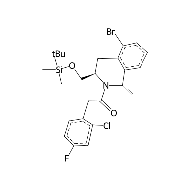 C[C@H]1c2cccc(Br)c2C[C@H](CO[Si](C)(C)C(C)(C)C)N1C(=O)Cc1ccc(F)cc1Cl